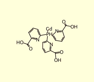 O=C(O)c1cccc([PH]([Gd])(c2cccc(C(=O)O)n2)c2cccc(C(=O)O)n2)n1